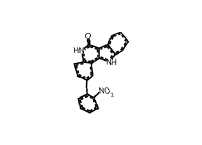 O=c1[nH]c2ccc(-c3ccccc3[N+](=O)[O-])cc2c2[nH]c3ccccc3c12